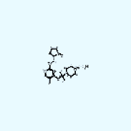 Cc1cnc(OC[C@@H]2CCCN2C)nc1CC(C)(C)N1CCN(C(=O)O)CC1